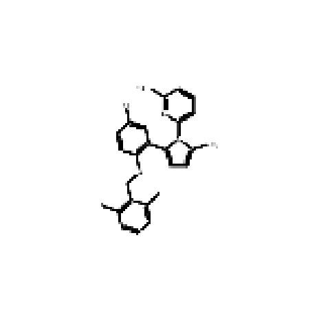 CCOC(=O)c1cccc(-n2c(C)ccc2-c2cc(Cl)ccc2OCc2c(F)cccc2F)n1